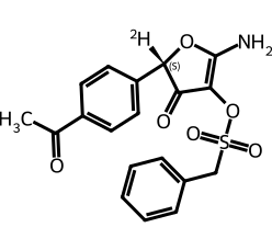 [2H][C@@]1(c2ccc(C(C)=O)cc2)OC(N)=C(OS(=O)(=O)Cc2ccccc2)C1=O